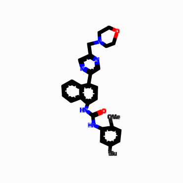 COc1ccc(C(C)(C)C)cc1NC(=O)Nc1ccc(-c2cnc(CN3CCOCC3)cn2)c2ccccc12